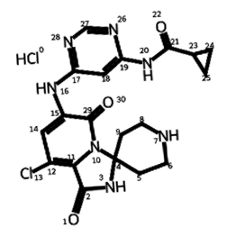 Cl.O=C1NC2(CCNCC2)n2c1c(Cl)cc(Nc1cc(NC(=O)C3CC3)ncn1)c2=O